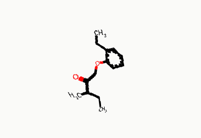 CCc1ccccc1OCC(=O)C(C)CC